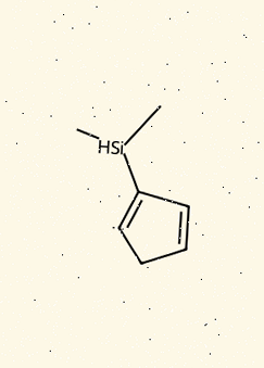 C[SiH](C)C1=[C]CC=C1